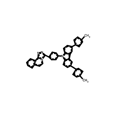 Cc1ccc(-c2ccc3c(c2)c2cc(-c4ccc(C)cc4)ccc2n3-c2ccc(-c3nnc4c5ccccc5ccn34)cc2)cc1